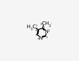 [CH2]c1ncncc1C